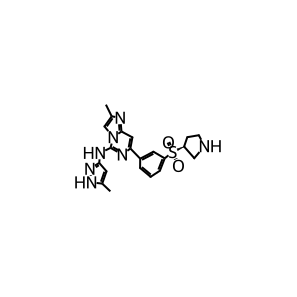 Cc1cn2c(Nc3cc(C)[nH]n3)nc(-c3cccc(S(=O)(=O)[C@H]4CCNC4)c3)cc2n1